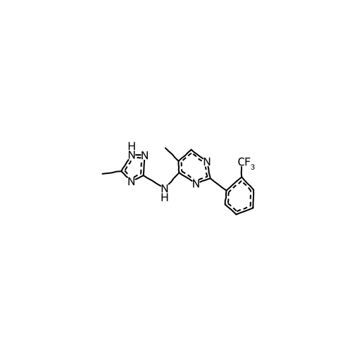 Cc1nc(Nc2nc(-c3ccccc3C(F)(F)F)ncc2C)n[nH]1